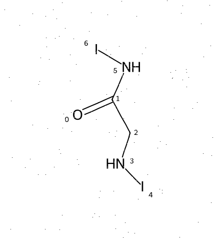 O=C(CNI)NI